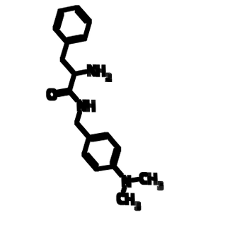 CN(C)c1ccc(CNC(=O)C(N)Cc2ccccc2)cc1